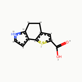 O=C(O)c1cc2c(s1)-c1cc[nH]c1CC2